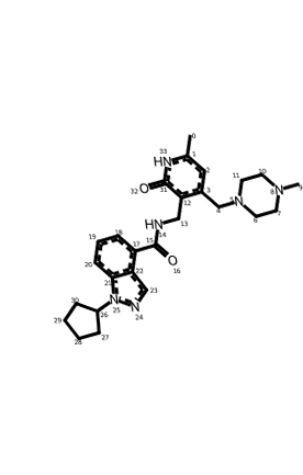 Cc1cc(CN2CCN(C)CC2)c(CNC(=O)c2cccc3c2cnn3C2CCCC2)c(=O)[nH]1